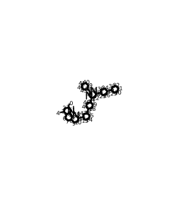 Cc1cc(C)c2ccc3ccc(-c4cccc(-c5ccc(-c6cc(-c7ccc(-c8ccccc8)cc7)nc(-c7ccccc7)n6)cc5)c4)nc3c2n1